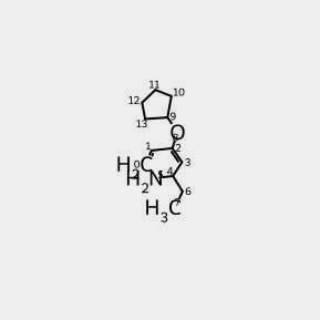 C=C/C(=C\C(N)CC)OC1CCCC1